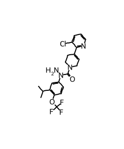 CC(C)c1cc(N(N)C(=O)N2CC=C(c3ncccc3Cl)CC2)ccc1OC(F)(F)F